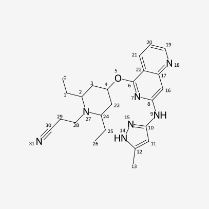 CCC1CC(Oc2nc(Nc3cc(C)[nH]n3)cc3ncccc23)CC(CC)N1CCC#N